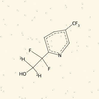 [2H]C([2H])(O)C(F)(F)c1ccc(C(F)(F)F)cn1